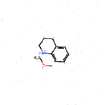 CO[SiH3].c1ccc2c(c1)CCCN2